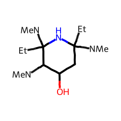 CCC1(NC)CC(O)C(NC)C(CC)(NC)N1